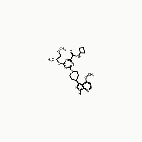 COC[C@@H](C)Oc1nc(C(=O)NC2CCC2)nc(N2CCC(c3n[nH]c4nccc(OC)c34)CC2)n1